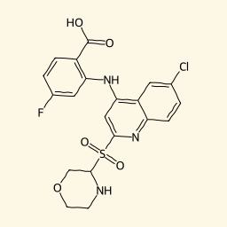 O=C(O)c1ccc(F)cc1Nc1cc(S(=O)(=O)C2COCCN2)nc2ccc(Cl)cc12